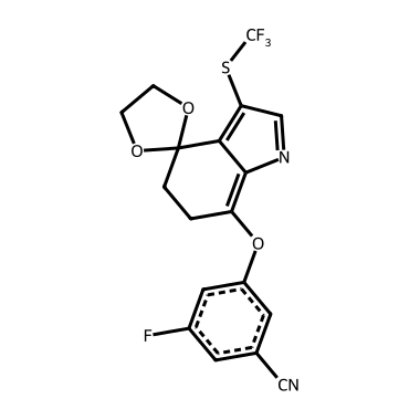 N#Cc1cc(F)cc(OC2=C3N=CC(SC(F)(F)F)=C3C3(CC2)OCCO3)c1